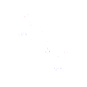 NC(=O)OC12C=CC(CC1)C1C(=O)NC(=O)C12